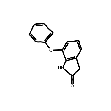 O=C1Cc2cccc(Oc3ccccc3)c2N1